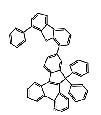 c1ccc(-c2cccc3c2sc2c(-c4ccc5c(c4)C(c4ccccc4)(c4ccccc4)c4c-5c5ccccc5c5ncccc45)cccc23)cc1